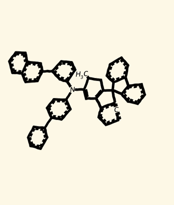 CC1CC2=C(C=C1N(c1ccc(-c3ccccc3)cc1)c1cccc(-c3ccc4ccccc4c3)c1)c1ccccc1C21c2ccccc2-c2ccccc21